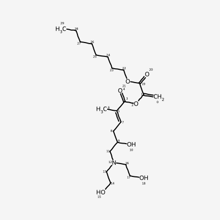 C=C(OC(=O)C(C)=CCC(O)CN(CCO)CCO)C(=O)OCCCCCCCC